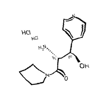 Cl.Cl.N[C@@H](C(=O)N1CCCC1)[C@H](O)c1ccncc1